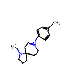 Cc1ccc(N2CCC3(CCCN3C)CC2)cc1